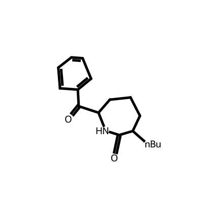 CCCCC1CCCC(C(=O)c2ccccc2)NC1=O